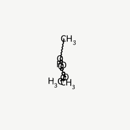 CCCCCCCCCCCCCCOc1ccc(C(=O)Oc2ccc(-c3ccc(C(=O)OC[C@@H](C)CC)cc3)cc2)c(F)c1